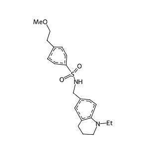 CCN1CCCc2cc(CNS(=O)(=O)c3ccc(CCOC)cc3)ccc21